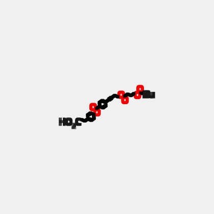 CCC(C)C(=O)OCCCC(=O)OCCC#Cc1ccc(C(=O)Oc2ccc(CCC(=O)O)cc2)cc1